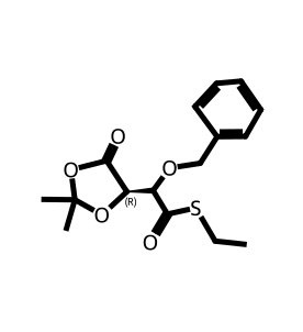 CCSC(=O)C(OCc1ccccc1)[C@H]1OC(C)(C)OC1=O